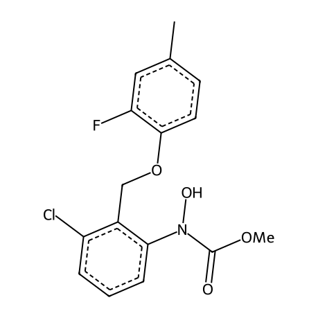 COC(=O)N(O)c1cccc(Cl)c1COc1ccc(C)cc1F